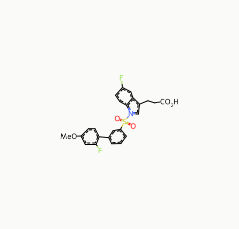 COc1ccc(-c2cccc(S(=O)(=O)n3cc(CCC(=O)O)c4cc(F)ccc43)c2)c(F)c1